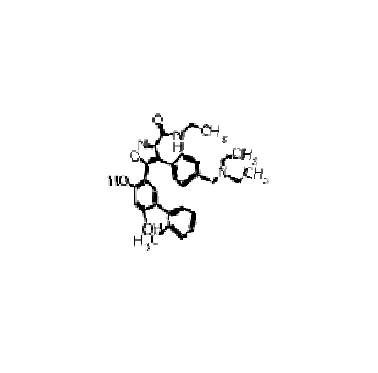 CCNC(=O)c1noc(-c2cc(-c3ccccc3C)c(O)cc2O)c1-c1ccc(CN(CC)CC)cc1